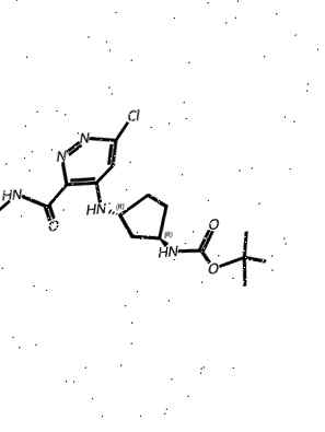 CNC(=O)c1nnc(Cl)cc1N[C@@H]1CC[C@@H](NC(=O)OC(C)(C)C)C1